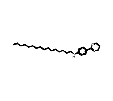 CCCCCCCCCCCCCCCCNc1ccc(C2=NCCCO2)cc1